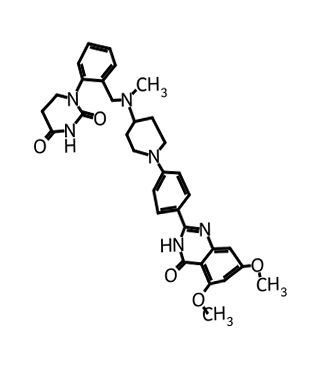 COc1cc(OC)c2c(=O)[nH]c(-c3ccc(N4CCC(N(C)Cc5ccccc5N5CCC(=O)NC5=O)CC4)cc3)nc2c1